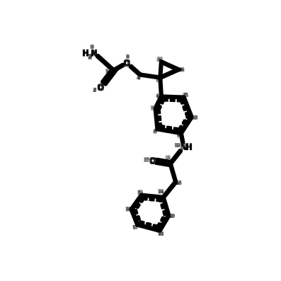 NC(=O)OCC1(c2ccc(NC(=O)[CH]c3ccccc3)cc2)CC1